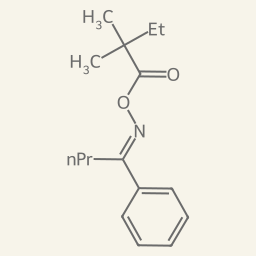 CCC/C(=N\OC(=O)C(C)(C)CC)c1ccccc1